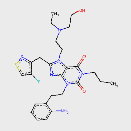 CCCn1c(=O)c2c(nc(Cc3nscc3F)n2CCN(CC)CCO)n(CCc2ccccc2N)c1=O